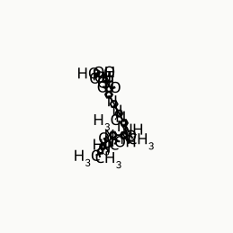 COc1ncc(-c2ccnc(N3CCn4c(cc5c4CC(C)(C)C5)C3=O)c2C(C)O)cc1Nc1ccc(N2CCN(C3CCN(c4ccc5c(c4)C(=O)N(C4CCC(=O)N(COP(=O)(O)O)C4=O)C5=O)CC3)C[C@@H]2C)cn1